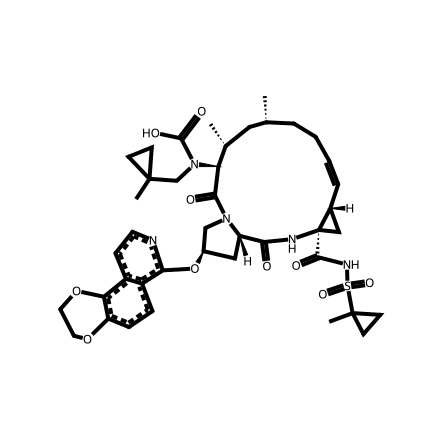 C[C@@H]1CC/C=C\[C@@H]2C[C@@]2(C(=O)NS(=O)(=O)C2(C)CC2)NC(=O)[C@@H]2C[C@@H](Oc3nccc4c5c(ccc34)OCCO5)CN2C(=O)[C@@H](N(CC2(C)CC2)C(=O)O)[C@H](C)C1